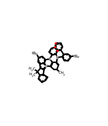 CC1C=C2C3=C(C1)n1c4c(c5cc(C(C)(C)C)cc(c51)B3c1ccc(C(C)(C)C)cc1N2c1ccc(C(C)(C)C)cc1-c1ccccc1)C(C)(C)c1ccccc1-4